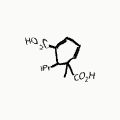 CC(C)C1C(C(=O)O)=CC=CC1(C)C(=O)O